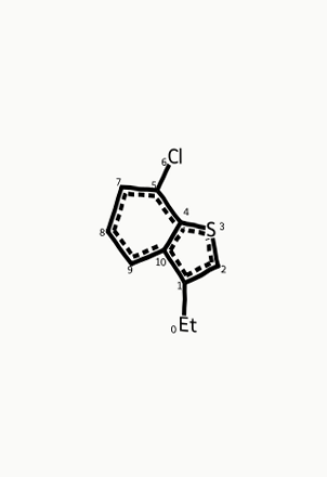 [CH2]Cc1csc2c(Cl)cccc12